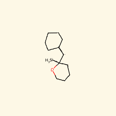 [SiH3]C1([CH]C2CCCCC2)CCCCO1